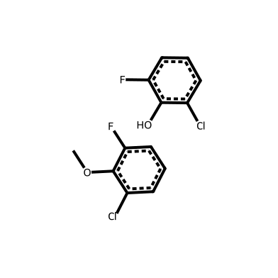 COc1c(F)cccc1Cl.Oc1c(F)cccc1Cl